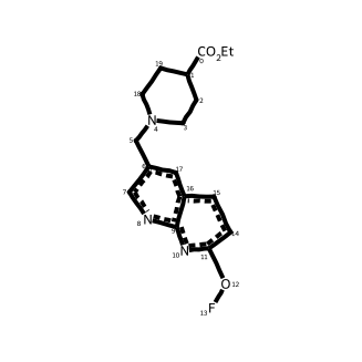 CCOC(=O)C1CCN(Cc2cnc3nc(OF)ccc3c2)CC1